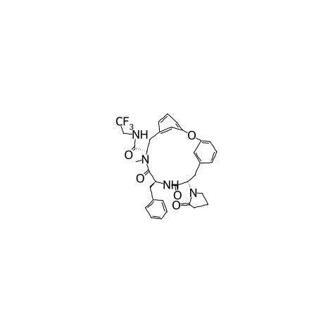 CN1C(=O)[C@H](Cc2ccccc2)NC(=O)[C@@H](N2CCCC2=O)Cc2cccc(c2)Oc2cccc(c2)C[C@H]1C(=O)NCC(F)(F)F